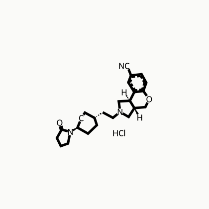 Cl.N#Cc1ccc2c(c1)[C@@H]1CN(CC[C@H]3CC[C@H](N4CCCC4=O)CC3)C[C@H]1CO2